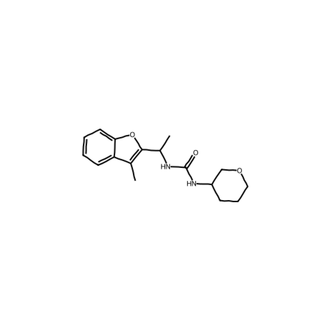 Cc1c(C(C)NC(=O)NC2CCCOC2)oc2ccccc12